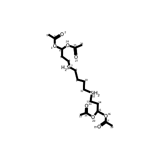 CC(=O)OC(CC[SiH2]CCCC[SiH2]CCC(OC(C)=O)OC(C)=O)OC(C)=O